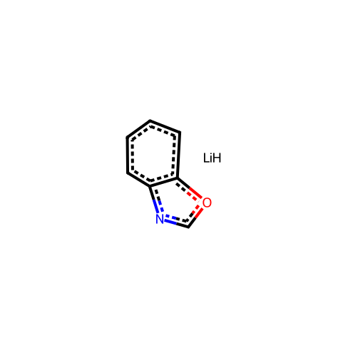 [LiH].c1ccc2ocnc2c1